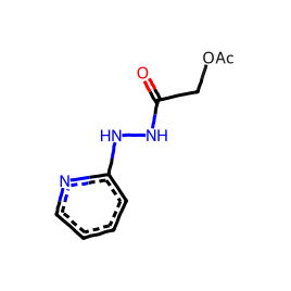 CC(=O)OCC(=O)NNc1ccccn1